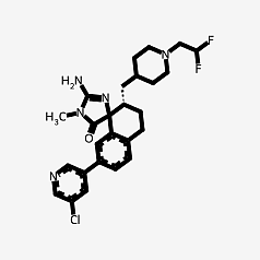 CN1C(=O)C2(N=C1N)c1cc(-c3cncc(Cl)c3)ccc1CC[C@H]2CC1CCN(CC(F)F)CC1